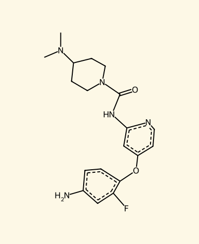 CN(C)C1CCN(C(=O)Nc2cc(Oc3ccc(N)cc3F)ccn2)CC1